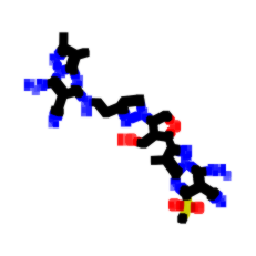 Cc1nn2c(N)c(C#N)c(NCCc3ccn(C4CO[C@@H](c5nn6c(N)c(C#N)c(S(C)(=O)=O)nc6c5C)C4CO)n3)nc2c1C